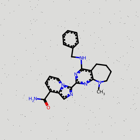 CN1CCCCc2c(NCc3ccccc3)nc(-c3ncc4c(C(N)=O)cccn34)nc21